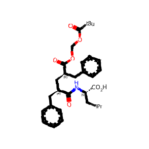 CC(C)C[C@H](NC(=O)[C@@H](Cc1ccccc1)C[C@H](Cc1ccccc1)C(=O)OCOC(=O)C(C)(C)C)C(=O)O